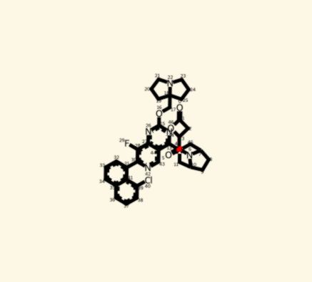 O=C1CC(C(=O)N2C3CCC2CN(c2nc(OCC45CCCN4CCC5)nc4c(F)c(-c5cccc6cccc(Cl)c56)ncc24)C3)O1